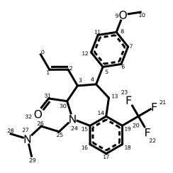 CC=CC1C(c2ccc(OC)cc2)Cc2c(cccc2C(F)(F)F)N(CCN(C)C)C1C=O